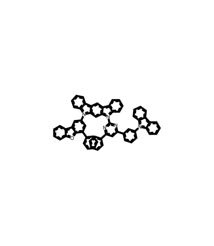 c1ccc(-c2cc(-c3cccc(-n4c5ccccc5c5ccccc54)c3)nc(-n3c4ccccc4c4cc5c6ccccc6n(-c6cc(-c7ccccc7)c7oc8ccccc8c7c6)c5cc43)n2)cc1